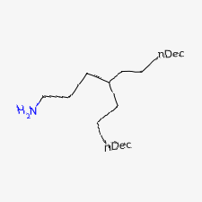 CCCCCCCCCCCCC(CCCN)CCCCCCCCCCCC